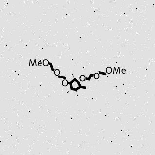 COCCOCCOC1C(C)[C@H](C)[C@H](C)C(OCCOCCOC)[C@@H]1C